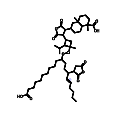 CCCC/C=C/C(CCC(CCCCCCCCCC(=O)O)OOC1(C)CC(C2C(=O)OC(=O)C2C2CCC3C(C)(CCCC3(C)C(=O)O)C2)C1C(C)C)C1CC(=O)OC1=O